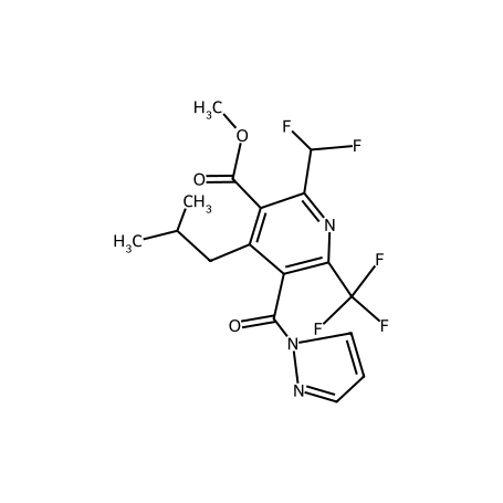 COC(=O)c1c(C(F)F)nc(C(F)(F)F)c(C(=O)n2cccn2)c1CC(C)C